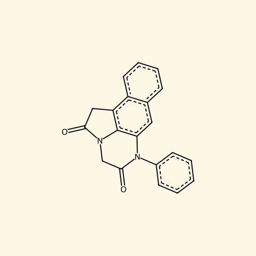 O=C1Cc2c3c(cc4ccccc24)N(c2ccccc2)C(=O)CN13